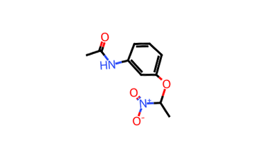 CC(=O)Nc1cccc(OC(C)[N+](=O)[O-])c1